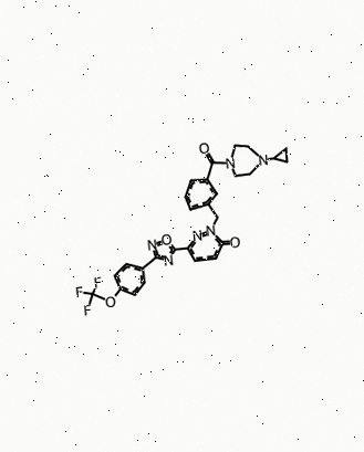 O=C(c1cccc(Cn2nc(-c3nc(-c4ccc(OC(F)(F)F)cc4)no3)ccc2=O)c1)N1CCN(C2CC2)CC1